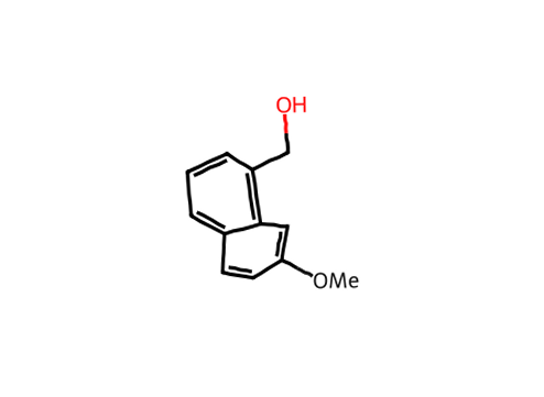 COc1ccc2cccc(CO)c2c1